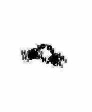 C[SiH]1O[SiH2]O[Si](C)(CCCOc2ccc(Cc3ccc(OCCC[Si]4(C)O[SiH2]O[SiH](C)O[SiH](C)O4)cc3)cc2)O[SiH](C)O1